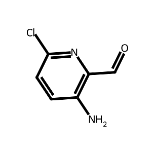 Nc1ccc(Cl)nc1C=O